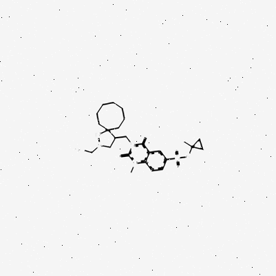 Cn1c(=O)n(CC2CN(CC#N)NC23CCCCCCC3)c(=O)c2cc(S(=O)(=O)NC3(C)CC3)ccc21